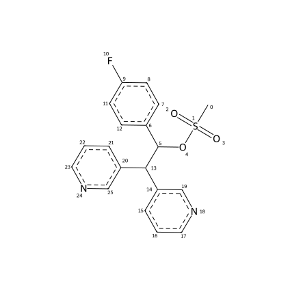 CS(=O)(=O)OC(c1ccc(F)cc1)C(c1cccnc1)c1cccnc1